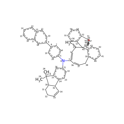 C=C1/C=C(N(c2ccc(-c3ccc4ccccc4c3)cc2)c2ccc3c(c2)C(C)(C)C2CCC=CC32)\C=C/Cc2ccccc2C12c1ccccc1-c1ccccc12